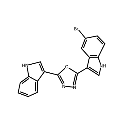 Brc1ccc2[nH]cc(-c3nnc(-c4c[nH]c5ccccc45)o3)c2c1